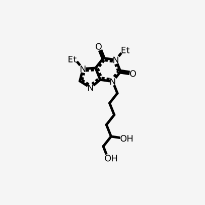 CCn1c(=O)c2c(ncn2CC)n(CCCCC(O)CO)c1=O